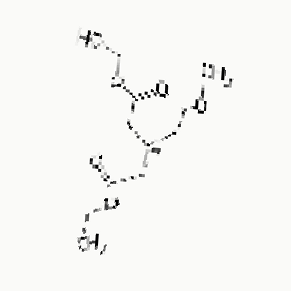 CCOC(=O)C[C@@H](CCOC)CC(=O)OCO